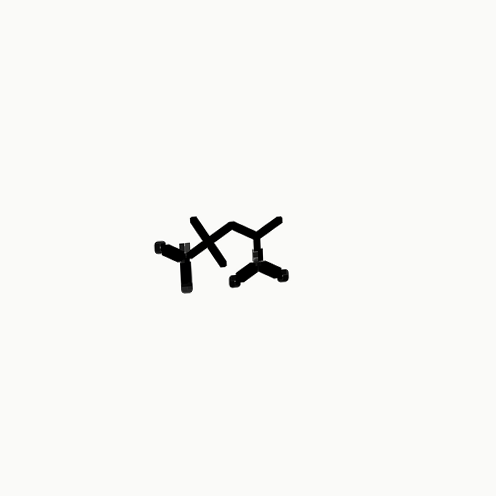 CC(CC(C)(C)[SH](=O)=O)[SH](=O)=O